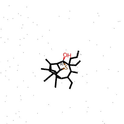 CCCC1(CC)C(C)C(CC)C2C(C)C(C)C(C)C3(C)CC2C2S[C@]1(O)C23